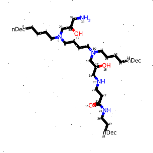 CCCCCCCCCCCCCCN(CCCCN(CCCCCCCCCCCCCC)CC(O)CNCCC(=O)NCCCCCCCCCCCC)CC(O)CN